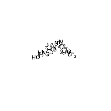 O=C(NCCO)c1cccc2c1CCN2c1cc(Cc2cccc(OC(F)(F)F)c2)ncn1